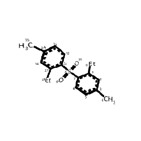 CCc1cc(C)ccc1S(=O)(=O)c1ccc(C)cc1CC